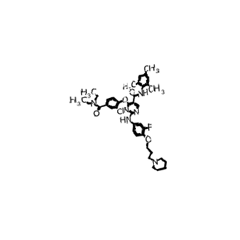 CCN(CC)C(=O)c1ccc(Oc2nc(Nc3ccc(OCCCN4CCCCC4)c(F)c3)ncc2C(=O)Nc2c(C)cc(C)cc2C)c(Cl)c1